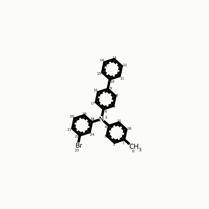 Cc1ccc(N(c2ccc(-c3ccccc3)cc2)c2cccc(Br)c2)cc1